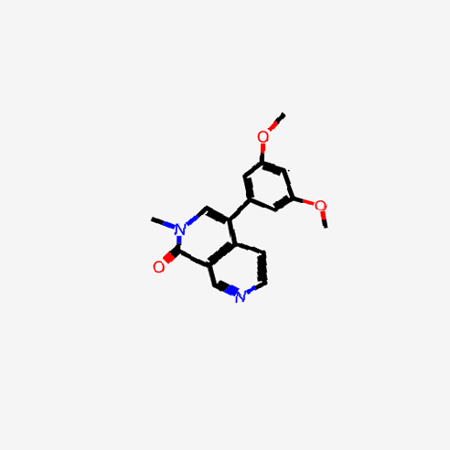 COc1[c]c(OC)cc(-c2cn(C)c(=O)c3cnccc23)c1